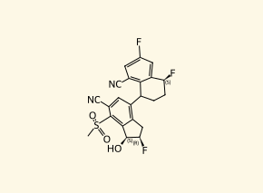 CS(=O)(=O)c1c(C#N)cc(C2CC[C@H](F)c3cc(F)cc(C#N)c32)c2c1[C@H](O)[C@H](F)C2